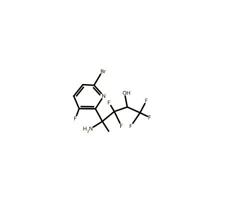 CC(N)(c1nc(Br)ccc1F)C(F)(F)C(O)C(F)(F)F